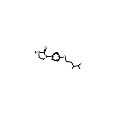 O=C1NCCN1c1ccc(OCCC(F)C(F)F)cc1